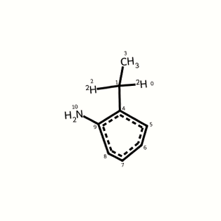 [2H]C([2H])(C)c1ccccc1N